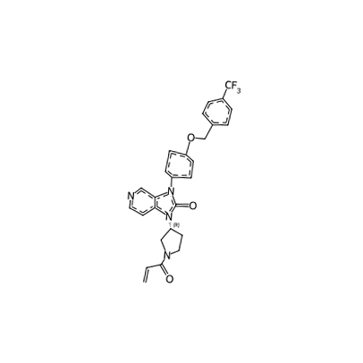 C=CC(=O)N1CC[C@@H](n2c(=O)n(-c3ccc(OCc4ccc(C(F)(F)F)cc4)cc3)c3cnccc32)C1